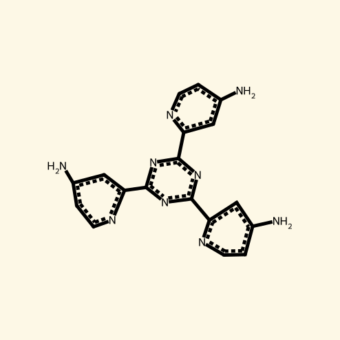 Nc1ccnc(-c2nc(-c3cc(N)ccn3)nc(-c3cc(N)ccn3)n2)c1